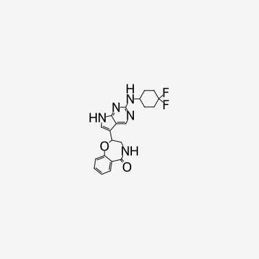 O=C1NCC(c2c[nH]c3nc(NC4CCC(F)(F)CC4)ncc23)Oc2ccccc21